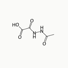 CC(=O)NNC(=O)C(=O)O